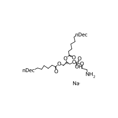 CCCCCCCCCCCCCCCC(=O)OC[C@H](COP(=O)(O)OCCN)OC(=O)CCCCCCCCCCCCCCC.[Na]